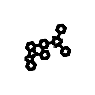 c1ccc(-c2nc(-c3ccccc3)nc(-c3ccc(-c4cccc5c6sc7ccccc7c6n(-c6ccccc6)c45)cc3)n2)cc1